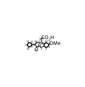 COc1ccc(CN2C(=O)C(c3ccccc3)=CC2SCC(=O)O)cc1